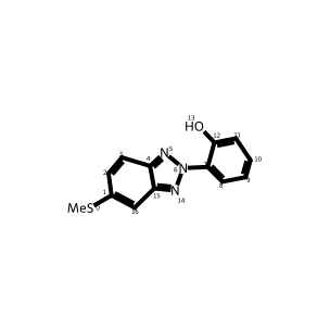 CSc1ccc2nn(-c3cc[c]cc3O)nc2c1